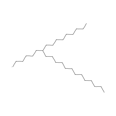 [CH2]CCCCCC(CCCCCCCCC)CCCCCCCCCCCCC